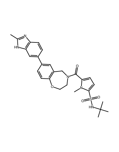 Cc1nc2ccc(-c3ccc4c(c3)CN(C(=O)c3ccc(S(=O)(=O)NC(C)(C)C)n3C)CCO4)cc2[nH]1